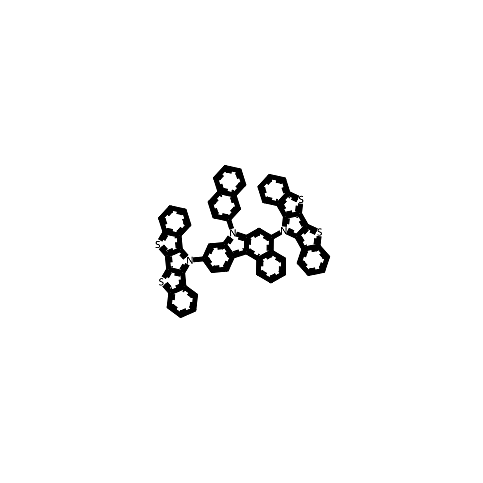 c1ccc2cc(-n3c4cc(-n5c6c7ccccc7sc6c6sc7ccccc7c65)ccc4c4c5ccccc5c(-n5c6c7ccccc7sc6c6sc7ccccc7c65)cc43)ccc2c1